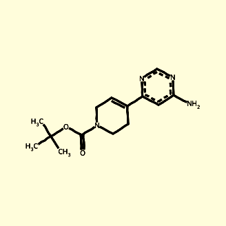 CC(C)(C)OC(=O)N1CC=C(c2cc(N)ncn2)CC1